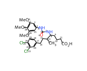 COc1cc(NC(=O)NC(CCCC(=O)O)C(C)CCc2ccc(Cl)c(Cl)c2)cc(OC)c1OC